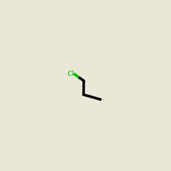 [CH2]CCCl